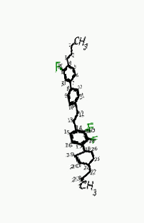 CCCCc1ccc(-c2ccc(CCc3ccc(C4CCC(CCC)CC4)c(F)c3F)cc2)cc1F